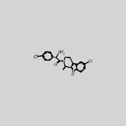 CC1c2[nH]c3ccc(Cl)cc3c2CCN1C(=O)C(N)c1ccc(Cl)cc1